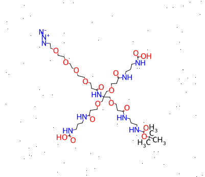 CC(C)(C)OC(=O)NCCCNC(=O)CCOCC(COCCC(=O)NCCCNC(=O)O)(COCCC(=O)NCCCNC(=O)O)NC(=O)CCOCCOCCOCCOCCN=[N+]=[N-]